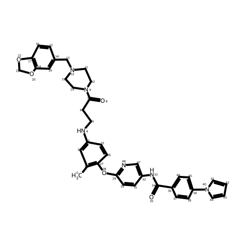 Cc1cc(NCCC(=O)N2CCN(Cc3ccc4c(c3)OCO4)CC2)ccc1Oc1ccc(NC(=O)c2ccc(-n3cccc3)cc2)cn1